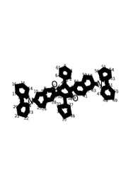 c1ccc(-c2c3oc4cc5cc(-n6c7ccccc7c7ccccc76)ccc5cc4c3c(-c3ccccc3)c3oc4cc5cc(-n6c7ccccc7c7ccccc76)ccc5cc4c23)cc1